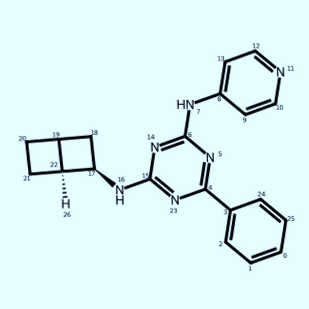 c1ccc(-c2nc(Nc3ccncc3)nc(N[C@@H]3CC4CC[C@@H]43)n2)cc1